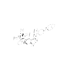 N#CC1=C(c2ccc3ncnc(N[C@H]4CC[C@H](N5CCOCC5)CC4)c3c2)NNN1